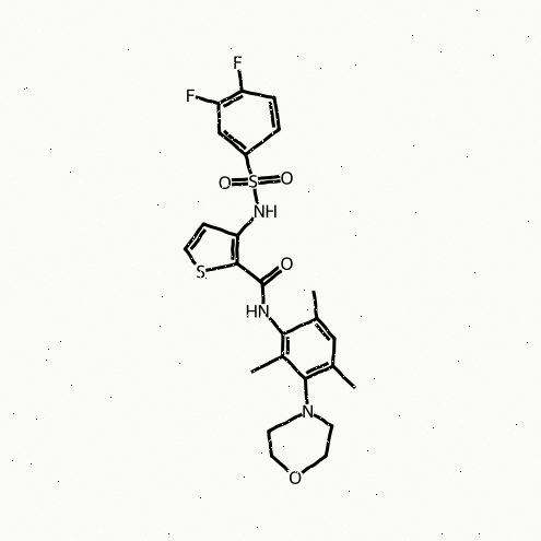 Cc1cc(C)c(N2CCOCC2)c(C)c1NC(=O)c1sccc1NS(=O)(=O)c1ccc(F)c(F)c1